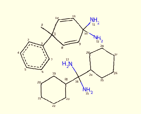 CC1(c2ccccc2)C=CC(N)(N)C=C1.NC(N)(C1CCCCC1)C1CCCCC1